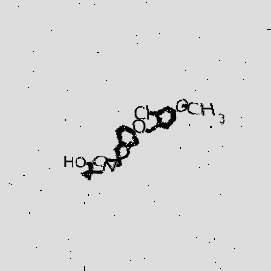 COc1ccc(COc2ccc3c(c2)CC2(C3)CN(CC3(C(=O)O)CC3)C2)c(Cl)c1